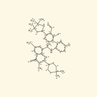 Cc1cc([C@@H](C)Nc2ccc(Cl)nc2-c2ccc(B3OC(C)(C)C(C)(C)O3)c(C=O)c2F)c2oc(N3CCC(C)(C)CC3)c(C)c(=O)c2c1